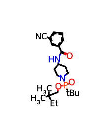 CCC(C)(C)COP(=O)(N1CCC(NC(=O)c2cccc(C#N)c2)CC1)C(C)(C)C